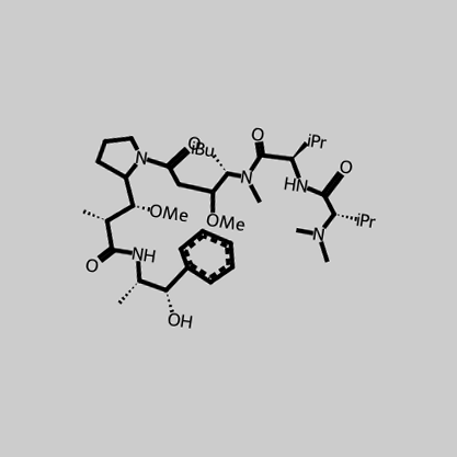 CCC(C)[C@@H](C(CC(=O)N1CCCC1[C@H](OC)[C@@H](C)C(=O)N[C@@H](C)[C@@H](O)c1ccccc1)OC)N(C)C(=O)[C@H](NC(=O)[C@H](C(C)C)N(C)C)C(C)C